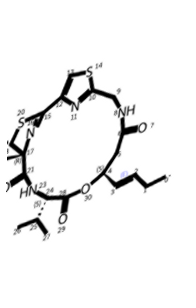 [CH2]C/C=C/[C@@H]1CC(=O)NCc2nc(cs2)C2=N[C@@](C)(CS2)C(=O)N[C@@H](C(C)C)C(=O)O1